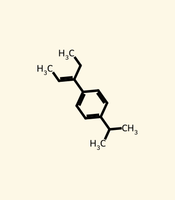 CC=C(CC)c1ccc(C(C)C)cc1